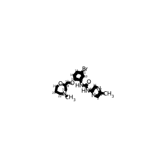 Cc1cnc(NC(=O)Nc2cc(Br)ccc2OCC2CN(C)CCCO2)cn1